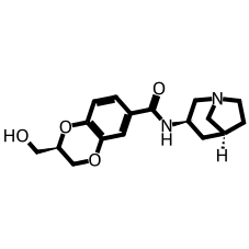 O=C(N[C@@H]1C[C@@H]2CCN(C2)C1)c1ccc2c(c1)OC[C@@H](CO)O2